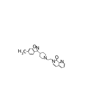 Cc1ccc2c(C3CCN(CCn4ccc5cccnc5c4=O)CC3)noc2c1